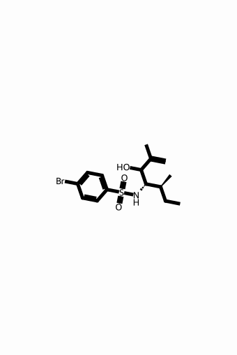 C=C(C)C(O)[C@@H](NS(=O)(=O)c1ccc(Br)cc1)[C@@H](C)CC